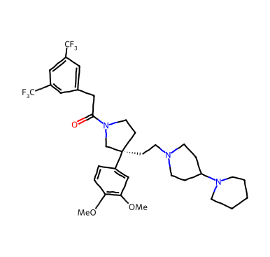 COc1ccc([C@]2(CCN3CCC(N4CCCCC4)CC3)CCN(C(=O)Cc3cc(C(F)(F)F)cc(C(F)(F)F)c3)C2)cc1OC